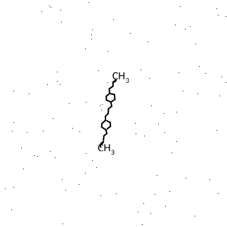 CC=CCCC1CCC(CCCCC2CCC(CCC=CC)CC2)CC1